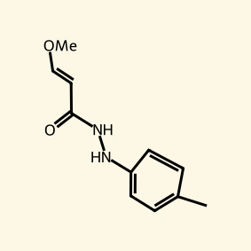 CO/C=C/C(=O)NNc1ccc(C)cc1